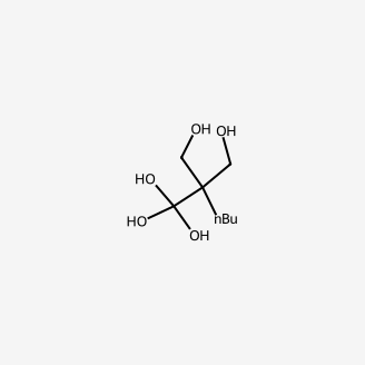 CCCCC(CO)(CO)C(O)(O)O